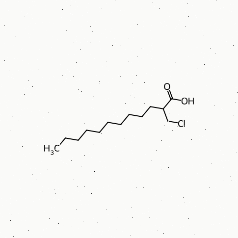 CCCCCCCCCCC(CCl)C(=O)O